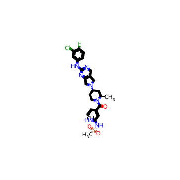 C/C=C\C(=C/C(=N)NS(C)(=O)=O)C(=O)N1CC[C@@H](N2Cc3cnc(Nc4ccc(F)c(Cl)c4)nc3C2)C[C@H]1C